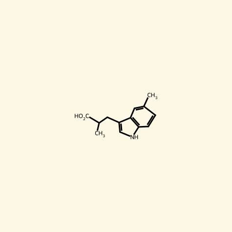 Cc1ccc2[nH]cc(CC(C)C(=O)O)c2c1